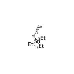 C#C[CH2][Sn]([CH2]C)([CH2]C)[CH2]C